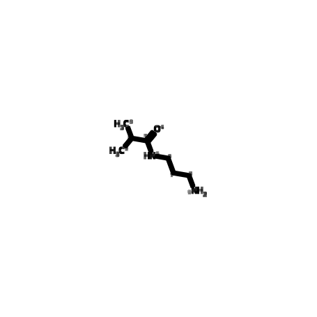 CC(C)C(=O)NCCCN